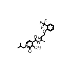 CC(C)Cn1ccc(C(=O)N[C@H](C)CCOc2ccccc2C(F)(F)F)c(O)c1=O